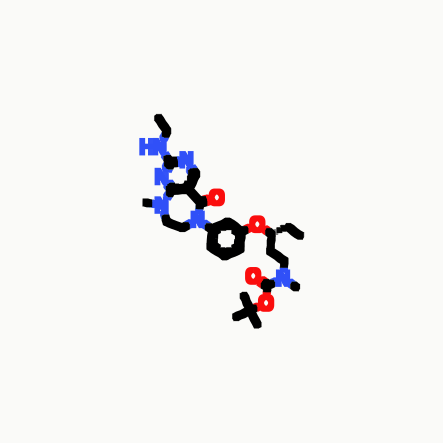 CCNc1ncc2c(n1)N(C)CCN(c1cccc(O[C@H](CC)CCN(C)C(=O)OC(C)(C)C)c1)C2=O